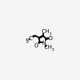 CC1=C(C=C=S)C(=O)N(C)C1=O